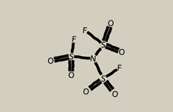 O=S(=O)(F)N(S(=O)(=O)F)S(=O)(=O)F